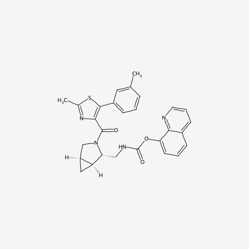 Cc1cccc(-c2sc(C)nc2C(=O)N2C[C@@H]3C[C@@H]3[C@H]2CNC(=O)Oc2cccc3cccnc23)c1